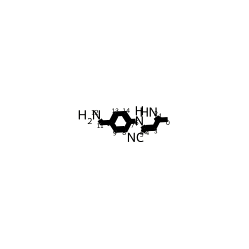 CC(=N)/C=C(/C#N)Nc1ccc(CN)cc1